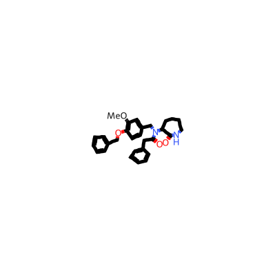 COc1cc(CN(C(=O)Cc2ccccc2)C2CCCCNC2=O)ccc1OCc1ccccc1